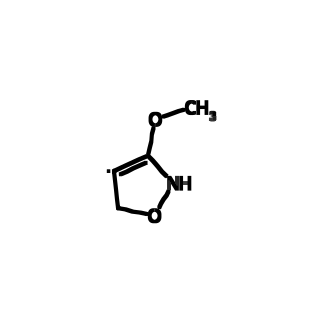 COC1=[C]CON1